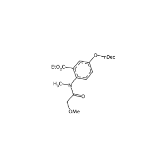 CCCCCCCCCCOc1ccc(N(C)C(=O)COC)c(C(=O)OCC)c1